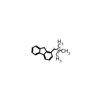 C[Si](C)(C)[CH]c1cccc2c1Cc1ccccc1-2